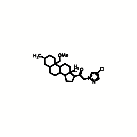 COCC12CC[C@H](C)CC1CCC1C3CCC(C(=O)Cn4cc(Cl)cn4)C3(C)CCC12